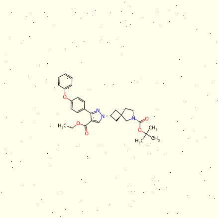 CCOC(=O)c1cn([C@H]2C[C@]3(CCN(C(=O)OC(C)(C)C)C3)C2)nc1-c1ccc(Oc2ccccc2)cc1